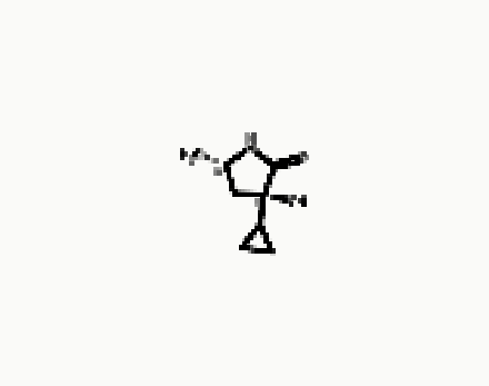 C[C@H]1C[C@@](C#N)(C2CC2)C(=O)N1